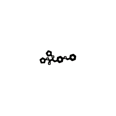 O=C(OC1CCCC1)C(Cc1ccc(OCc2ccccc2)cc1)OC1CCCC1